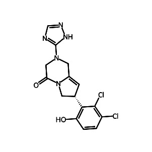 O=C1CN(c2ncn[nH]2)CC2=C[C@H](c3c(O)ccc(Cl)c3Cl)CN12